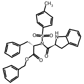 Cc1ccc(S(=O)(=O)N(C(=O)[C@@H]2Cc3ccccc3N2)[C@@H](Cc2ccccc2)C(=O)OCc2ccccc2)cc1